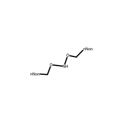 CCCCCCCCCCONOCCCCCCCCCC